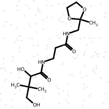 CC1(CNC(=O)CCNC(=O)C(O)C(C)(C)CO)OCCO1